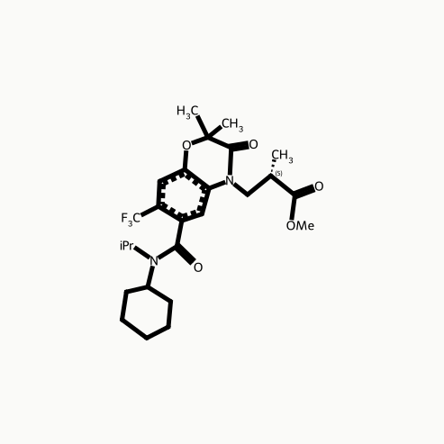 COC(=O)[C@@H](C)CN1C(=O)C(C)(C)Oc2cc(C(F)(F)F)c(C(=O)N(C(C)C)C3CCCCC3)cc21